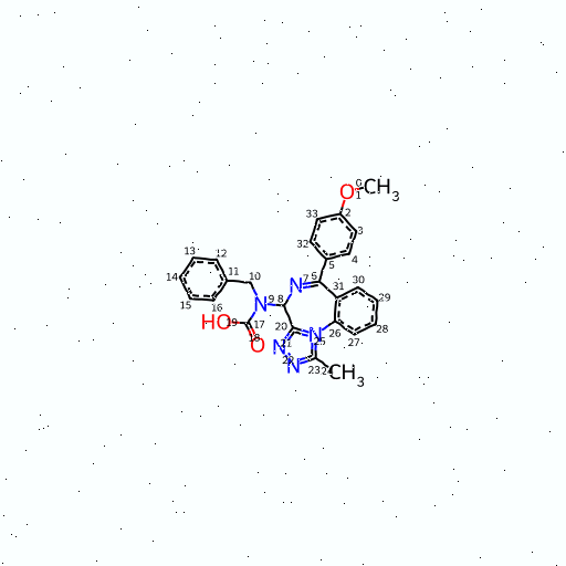 COc1ccc(C2=NC(N(Cc3ccccc3)C(=O)O)c3nnc(C)n3-c3ccccc32)cc1